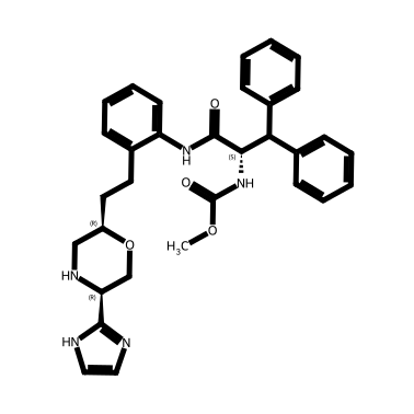 COC(=O)N[C@H](C(=O)Nc1ccccc1CC[C@@H]1CN[C@H](c2ncc[nH]2)CO1)C(c1ccccc1)c1ccccc1